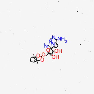 CN=C[C@@]1(c2ccc3c(N)ncnn23)O[C@H](COC(=O)O[C@@H]2C3(C)CCC(C3)C2(C)C)[C@@H](O)[C@H]1O